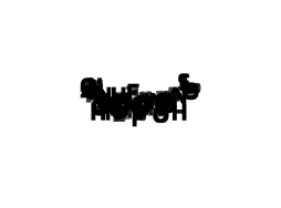 COC(=S)NC[C@H]1CN(c2cc(F)c(N3CCNN(C(=O)Nc4ccon4)CC3)c(F)c2)C(=O)O1